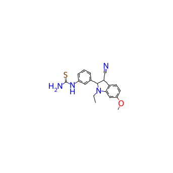 CCN1c2cc(OC)ccc2C(C#N)C1c1cccc(NC(N)=S)c1